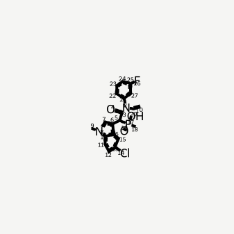 C=CN(C(=O)C(c1cn(C)c2ccc(Cl)cc12)P(C)(=O)O)c1cccc(F)c1